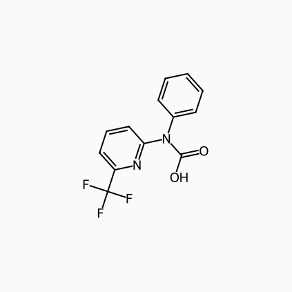 O=C(O)N(c1ccccc1)c1cccc(C(F)(F)F)n1